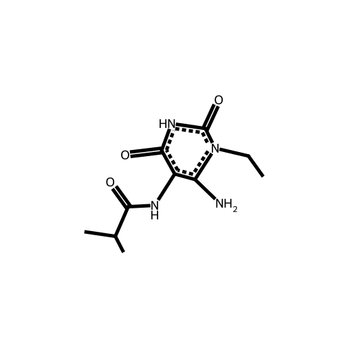 CCn1c(N)c(NC(=O)C(C)C)c(=O)[nH]c1=O